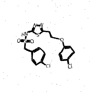 O=S(=O)(Cc1ccc(Cl)cc1)Nc1nnc(CCOc2ccc(Cl)cc2)s1